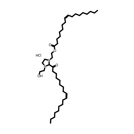 CCCCCCCC/C=C\CCCCCCCC(=O)OCCN1CCN(CCO)C1C(=O)CCCCCCC/C=C\CCCCCCCC.Cl